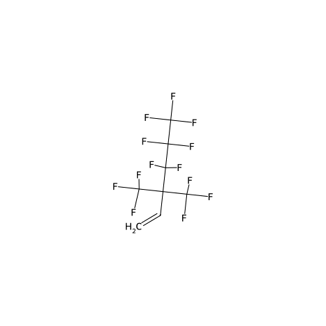 C=CC(C(F)(F)F)(C(F)(F)F)C(F)(F)C(F)(F)C(F)(F)F